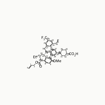 C=CCOC(=O)N1c2ccc(OC)nc2[C@@H](N(Cc2cc(CF)cc(C(F)(F)F)c2)c2ncc(N3CCC(C(=O)O)CC3)cn2)C[C@H]1CC